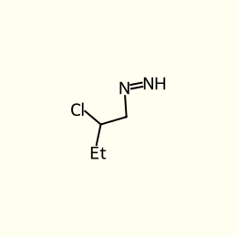 CCC(Cl)CN=N